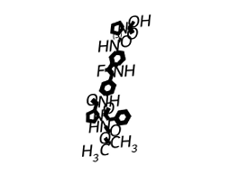 CC(C)OC(=O)NC(C(=O)N1CCCC1C(=O)Nc1ccc(-c2[nH]c3ccc(NC(=O)[C@@H]4CCCN4C(=O)O)cc3c2F)cc1)c1ccccc1